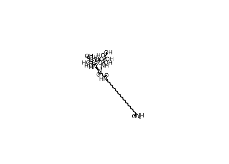 CCNC(=O)CCCCCCCCCCCCCCCCCCCCCCCNC(=O)CCC(=O)N(CCNC(=O)[C@@H](O)[C@H](O)[C@@H](O)[C@H](O)CO)CCNC(=O)[C@H](O)[C@@H](O)[C@H](O)[C@@H](O)CO